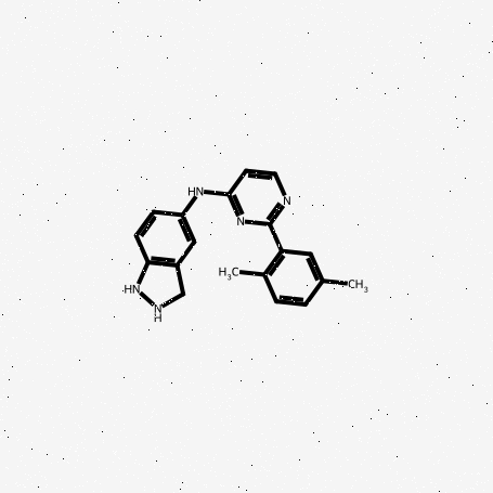 Cc1ccc(C)c(-c2nccc(Nc3ccc4c(c3)CNN4)n2)c1